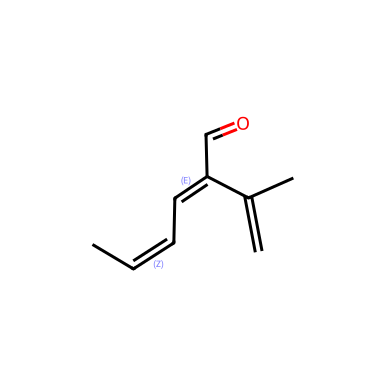 C=C(C)/C(C=O)=C\C=C/C